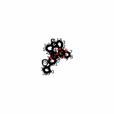 c1ccc(N(c2ccccc2)c2cccc3sc4cccc(N(c5ccccc5)c5ccc6c(c5)oc5ccccc56)c4c23)cc1